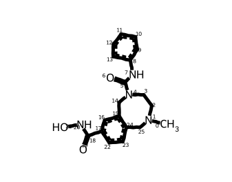 CN1CCN(C(=O)Nc2ccccc2)Cc2cc(C(=O)NO)ccc2C1